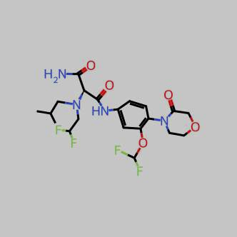 CC(C)CN(CC(F)F)[C@@H](C(N)=O)C(=O)Nc1ccc(N2CCOCC2=O)c(OC(F)F)c1